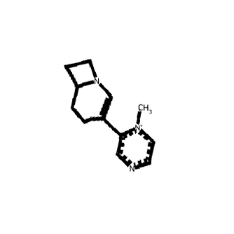 C[n+]1ccncc1C1=CN2CCC2CC1